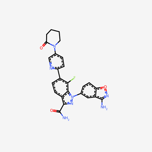 NC(=O)c1nn(-c2ccc3onc(N)c3c2)c2c(F)c(-c3ccc(N4CCCCC4=O)cn3)ccc12